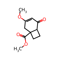 COC(=O)C12CCC1C(=O)C=C(OC)C2